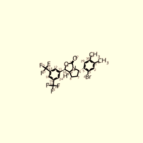 Cc1cc(Br)c([C@@H]2CC[C@H]3[C@@H](c4cc(C(F)(F)F)cc(C(F)(F)F)c4)OC(=O)N23)cc1C